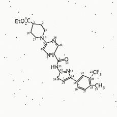 CCOC(=O)C1CCN(c2cnc(C(=O)Nc3nc(-c4ccc(C)c(C(F)(F)F)c4)cs3)cn2)CC1